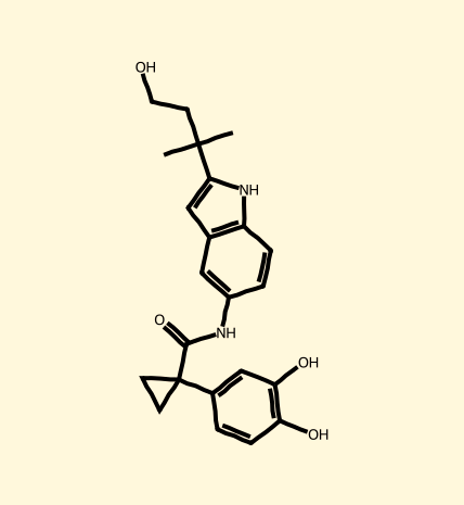 CC(C)(CCO)c1cc2cc(NC(=O)C3(c4ccc(O)c(O)c4)CC3)ccc2[nH]1